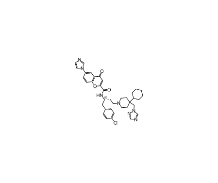 O=C(N[C@H](CCN1CCC(Cn2cncn2)(C2CCCCC2)CC1)Cc1ccc(Cl)cc1)c1cc(=O)c2cc(-n3ccnc3)ccc2o1